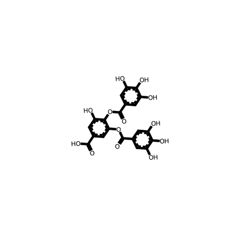 O=C(O)c1cc(O)c(OC(=O)c2cc(O)c(O)c(O)c2)c(OC(=O)c2cc(O)c(O)c(O)c2)c1